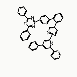 c1ccc(-c2cc(-c3ccccn3)nc(-c3ccc(-c4ccccc4-c4ccc(-c5nc(-c6ccccc6)nc(-c6ccccc6)n5)cc4)cn3)c2)cc1